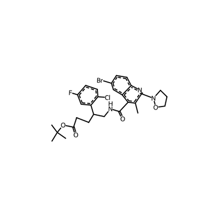 Cc1c(N2CCCO2)nc2ccc(Br)cc2c1C(=O)NCC(CCC(=O)OC(C)(C)C)c1cc(F)ccc1Cl